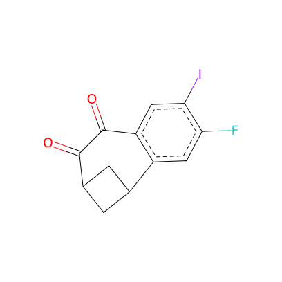 O=C1C(=O)C2CC(C2)c2cc(F)c(I)cc21